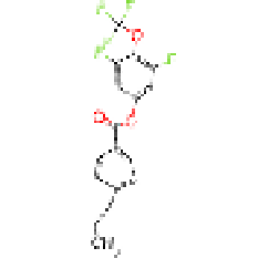 CCCc1ccc(C(=O)Oc2cc(F)c(OC(F)(F)F)c(F)c2)cc1